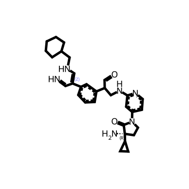 N=C/C(=C\NCC1CCCCC1)c1cccc(C(C=O)CNc2cc(N3CC[C@@](N)(C4CC4)C3=O)ccn2)c1